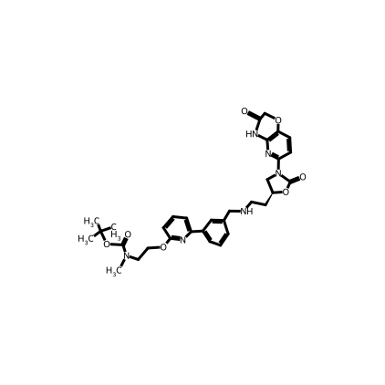 CN(CCOc1cccc(-c2cccc(CNCC[C@H]3CN(c4ccc5c(n4)NC(=O)CO5)C(=O)O3)c2)n1)C(=O)OC(C)(C)C